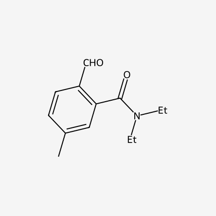 CCN(CC)C(=O)c1cc(C)ccc1C=O